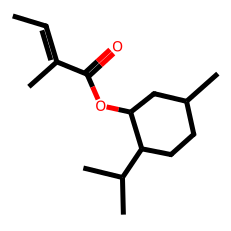 C/C=C(\C)C(=O)OC1CC(C)CCC1C(C)C